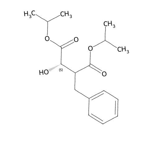 CC(C)OC(=O)C(Cc1ccccc1)[C@H](O)C(=O)OC(C)C